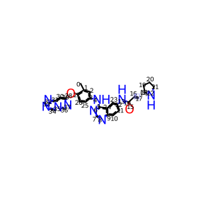 Cc1cc(Nc2ncnc3ccc(NC(=O)/C=C/[C@@H]4CCCN4)cc23)ccc1Oc1cc2nncn2cn1